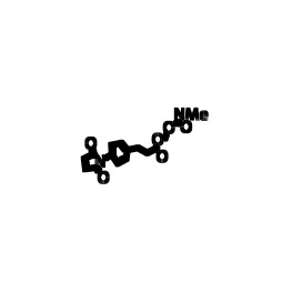 CNC(=O)OCOC(=O)CCc1ccc(N2C(=O)C=CC2=O)cc1